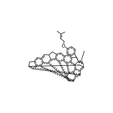 CC(C)=CCOc1ccc(C2N(C)CC3C4=c5c6c7c8c(cc9cc%10c%11c%12c%13c%14c(cc%15c%16c(c5c5c6c6c8c9c%11c6c%13c5c%16%14)=C(C4)C%15)=CC%12C%10)CC732)cc1